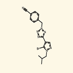 CC(C)Cn1ncc(-c2nnn(Cc3ccc(C#N)cc3)n2)c1Br